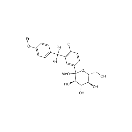 [2H]C([2H])(c1ccc(OCC)cc1)c1cc(C2(OC)O[C@H](CO)[C@@H](O)[C@H](O)[C@H]2O)ccc1Cl